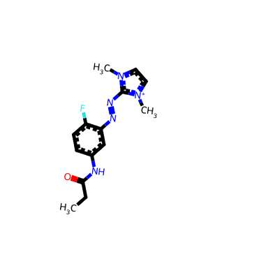 CCC(=O)Nc1ccc(F)c(/N=N/c2n(C)cc[n+]2C)c1